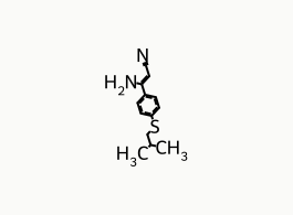 CC(C)CSc1ccc(C(N)=CC#N)cc1